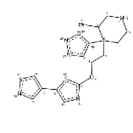 CC(C)C1CNCCC1(CCOc1ncc(-c2cnsc2)s1)c1cnno1